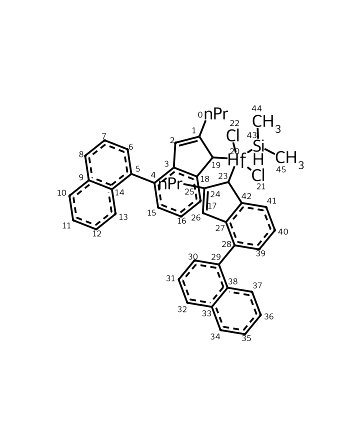 CCCC1=Cc2c(-c3cccc4ccccc34)cccc2[CH]1[Hf]([Cl])([Cl])([CH]1C(CCC)=Cc2c(-c3cccc4ccccc34)cccc21)[SiH](C)C